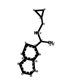 [CH2]C(NCC1CC1)c1ccc2cccnc2c1